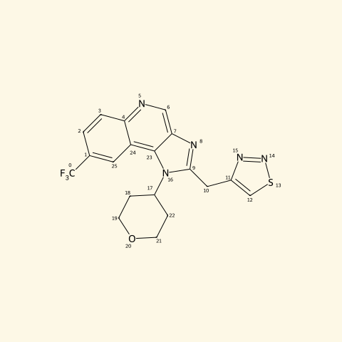 FC(F)(F)c1ccc2ncc3nc(Cc4csnn4)n(C4CCOCC4)c3c2c1